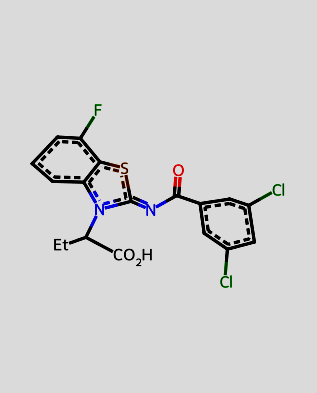 CCC(C(=O)O)n1c(=NC(=O)c2cc(Cl)cc(Cl)c2)sc2c(F)cccc21